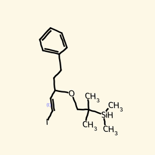 C[SiH](C)C(C)(C)COC(/C=C/I)CCc1ccccc1